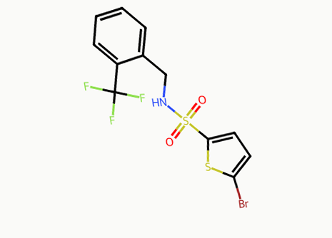 O=S(=O)(NCc1ccccc1C(F)(F)F)c1ccc(Br)s1